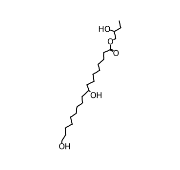 CCC(O)COC(=O)CCCCCCCC(O)CCCCCCCCCO